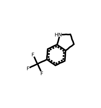 FC(F)(F)c1ccc2c(c1)NCC2